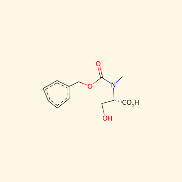 CN(C(=O)OCc1ccccc1)[C@@H](CO)C(=O)O